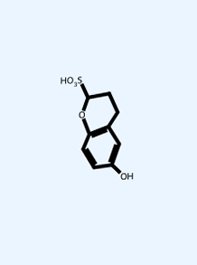 O=S(=O)(O)C1CCc2cc(O)ccc2O1